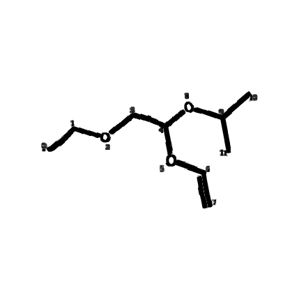 [CH2]COCC(OC=C)OC(C)C